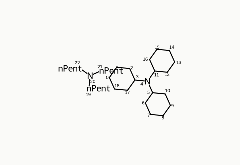 C1CCC(N(C2CCCCC2)C2CCCCC2)CC1.CCCCCN(CCCCC)CCCCC